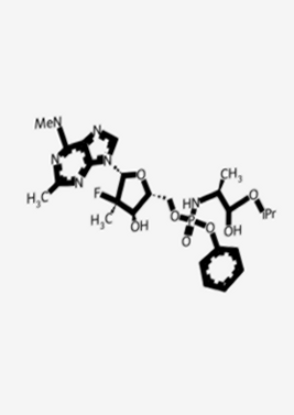 CNc1nc(C)nc2c1ncn2[C@@H]1O[C@H](COP(=O)(N[C@@H](C)C(O)OC(C)C)Oc2ccccc2)[C@@H](O)[C@@]1(C)F